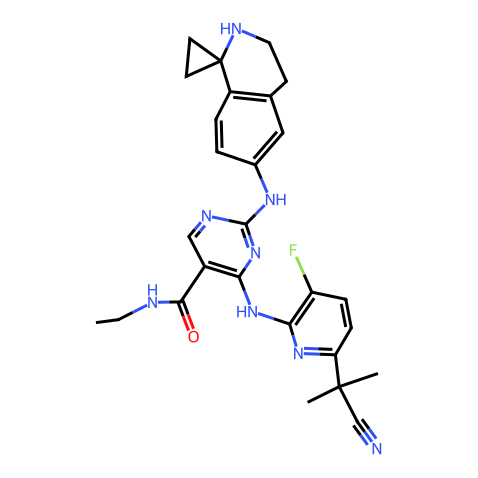 CCNC(=O)c1cnc(Nc2ccc3c(c2)CCNC32CC2)nc1Nc1nc(C(C)(C)C#N)ccc1F